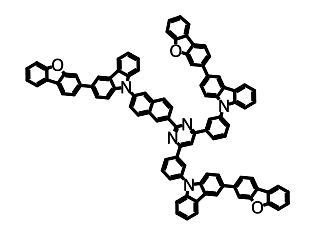 c1cc(-c2cc(-c3cccc(-n4c5ccccc5c5cc(-c6ccc7c(c6)oc6ccccc67)ccc54)c3)nc(-c3ccc4cc(-n5c6ccccc6c6cc(-c7ccc8c(c7)oc7ccccc78)ccc65)ccc4c3)n2)cc(-n2c3ccccc3c3cc(-c4ccc5c(c4)oc4ccccc45)ccc32)c1